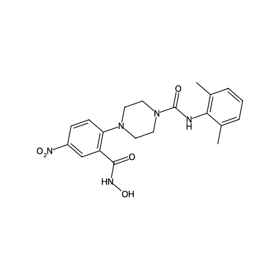 Cc1cccc(C)c1NC(=O)N1CCN(c2ccc([N+](=O)[O-])cc2C(=O)NO)CC1